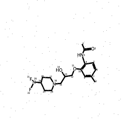 CC(=O)Nc1ccc(C)cc1OCC(O)CN1CCC(N(F)F)CC1